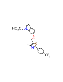 Cc1nc(-c2ccc(C(F)(F)F)cc2)sc1COc1ccc2ccn(CC(=O)O)c2c1